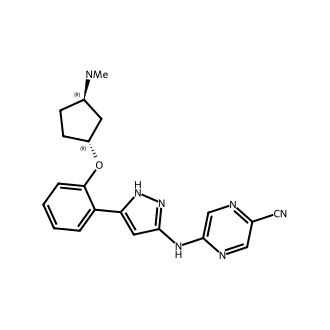 CN[C@@H]1CC[C@@H](Oc2ccccc2-c2cc(Nc3cnc(C#N)cn3)n[nH]2)C1